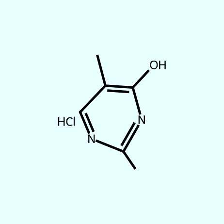 Cc1ncc(C)c(O)n1.Cl